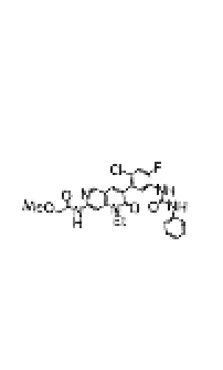 CCn1c(=O)c(-c2cc(NC(=O)Nc3ccccc3)c(F)cc2Cl)cc2cnc(NC(=O)COC)cc21